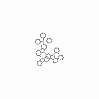 c1ccc(-c2ccccc2-n2c3ccccc3c3ccc(-n4c5ccc([Si](c6ccccc6)(c6ccccc6)c6ccccc6)cc5c5cccc(-n6c7ccccc7c7ccccc76)c54)cc32)cc1